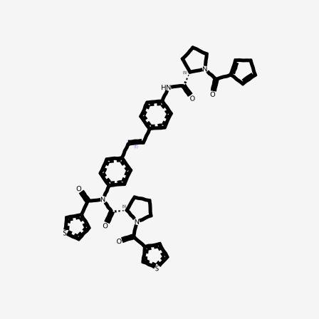 O=C(Nc1ccc(/C=C/c2ccc(N(C(=O)c3ccsc3)C(=O)[C@@H]3CCCN3C(=O)c3ccsc3)cc2)cc1)[C@@H]1CCCN1C(=O)C1=CCC=C1